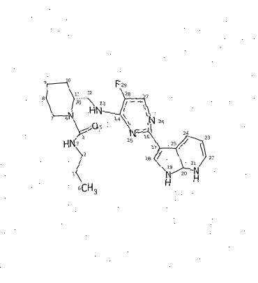 CCCNC(=O)N1CCCC[C@@H]1CNc1nc(C2=CNC3NC=CC=C23)ncc1F